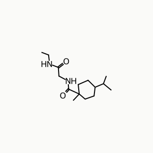 CCNC(=O)CNC(=O)C1(C)CCC(C(C)C)CC1